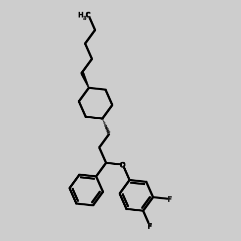 CCCCC[C@H]1CC[C@H](CCC(Oc2ccc(F)c(F)c2)c2ccccc2)CC1